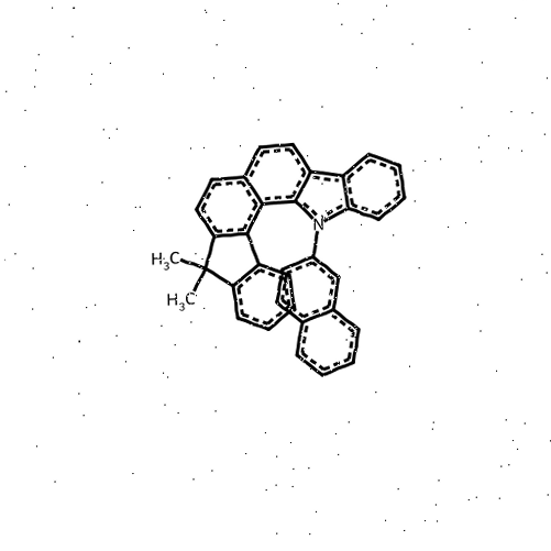 CC1(C)c2ccccc2-c2c1ccc1ccc3c4ccccc4n(-c4ccc5ccccc5c4)c3c21